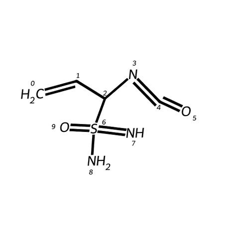 C=CC(N=C=O)S(=N)(N)=O